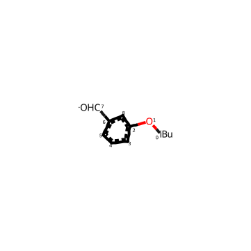 CCC(C)Oc1cccc([C]=O)c1